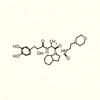 C[C@H](NC(=O)[C@H](O)Cc1ccc(O)c(O)c1)C(=O)N1C2CCCCC2C[C@H]1C(=O)NCCN1CCOCC1